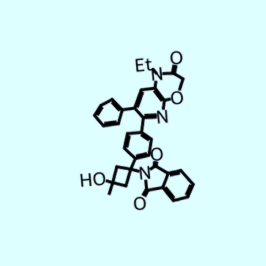 CCN1C(=O)COc2nc(-c3ccc(C4(N5C(=O)c6ccccc6C5=O)CC(C)(O)C4)cc3)c(-c3ccccc3)cc21